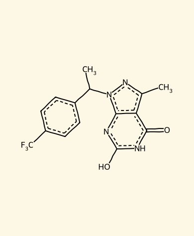 Cc1nn(C(C)c2ccc(C(F)(F)F)cc2)c2nc(O)[nH]c(=O)c12